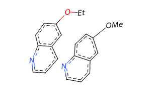 CCOc1ccc2ncccc2c1.COc1ccc2ncccc2c1